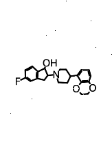 OC1c2ccc(F)cc2CC1N1CCC(c2cccc3c2OCCO3)CC1